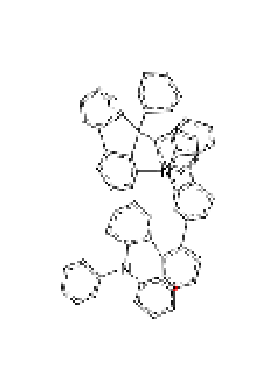 c1ccc(N(c2ccccc2)c2ccccc2-c2ccccc2-c2ccc3c4ccccc4n(-c4cccc5c4C(c4ccccc4)(c4ccccc4)c4ccccc4-5)c3c2)cc1